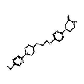 CCc1cnc(N2CCC(CCCOc3ccc(N4CCNC(=O)C4)nc3)CC2)nc1